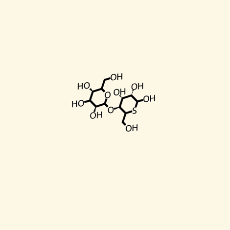 OCC1OC(O[C@@H]2C(CO)SC(O)[C@@H](O)[C@H]2O)[C@@H](O)C(O)[C@H]1O